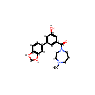 CN1CCCN(C(=O)c2cc(O)cc(-c3ccc4c(c3)OCO4)c2)CC1